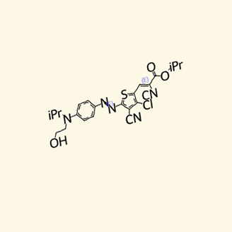 CC(C)OC(=O)/C(C#N)=C/c1sc(/N=N/c2ccc(N(CCO)C(C)C)cc2)c(C#N)c1Cl